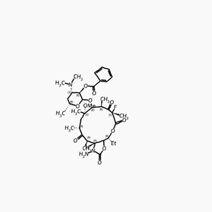 CC[C@H]1OC(=O)[C@@](C)(F)C(=O)[C@H](C)[C@@H](OC2O[C@H](C)C[C@H](N(C)C)[C@H]2OC(=O)c2ccccc2)[C@@](C)(OC)C[C@@H](C)C(=O)[C@H](C)[C@@H]2C1OC(=O)N2N